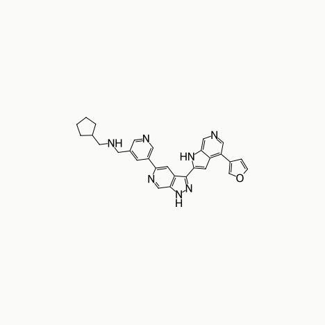 c1cc(-c2cncc3[nH]c(-c4n[nH]c5cnc(-c6cncc(CNCC7CCCC7)c6)cc45)cc23)co1